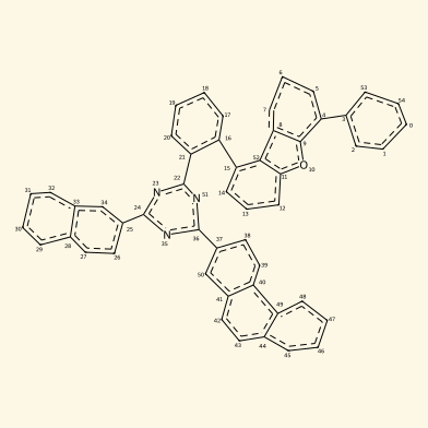 c1ccc(-c2cccc3c2oc2cccc(-c4ccccc4-c4nc(-c5ccc6ccccc6c5)nc(-c5ccc6c(ccc7ccccc76)c5)n4)c23)cc1